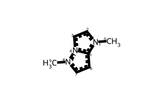 Cn1ccn2c1cc[n+]2C